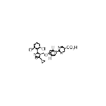 O=C(O)c1cnc(N2C[C@@H]3C[C@H]2C[C@H]3OCc2c(-c3c(Cl)cccc3Cl)noc2C2CC2)nc1